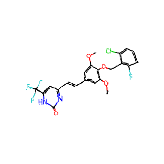 COc1cc(/C=C/c2cc(C(F)(F)F)[nH]c(=O)n2)cc(OC)c1OCc1c(F)cccc1Cl